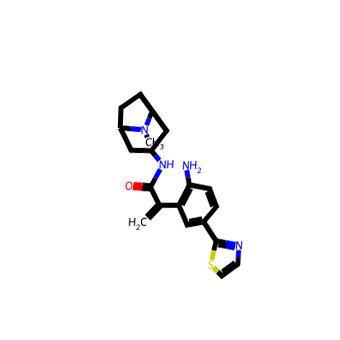 C=C(C(=O)NC1CC2CCC(C1)N2C)c1cc(-c2nccs2)ccc1N